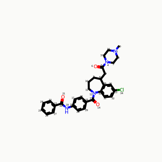 CN1CCN(C(=O)CC2CCCN(C(=O)c3ccc(NC(=O)c4ccccc4)cc3)c3ccc(Cl)cc32)CC1